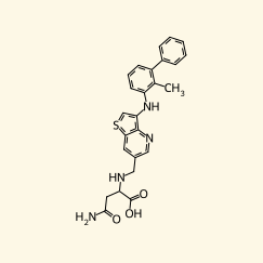 Cc1c(Nc2csc3cc(CNC(CC(N)=O)C(=O)O)cnc23)cccc1-c1ccccc1